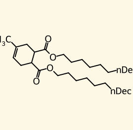 CCCCCCCCCCCCCCCCOC(=O)C1CC=C(C)CC1C(=O)OCCCCCCCCCCCCCCCC